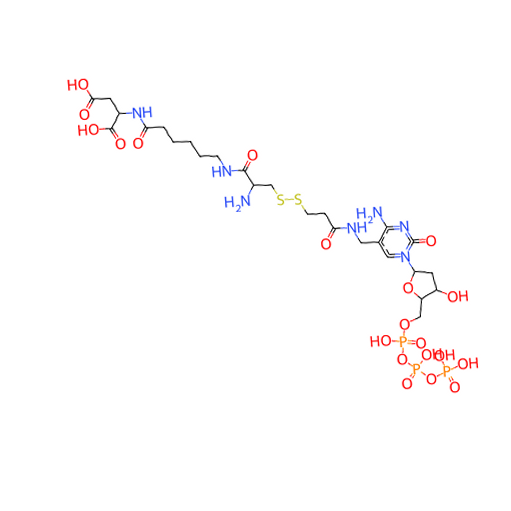 Nc1nc(=O)n(C2CC(O)C(COP(=O)(O)OP(=O)(O)OP(=O)(O)O)O2)cc1CNC(=O)CCSSCC(N)C(=O)NCCCCCC(=O)NC(CC(=O)O)C(=O)O